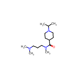 CC(C)N1CCC(C(=O)N(C)CCCN(C)C)CC1